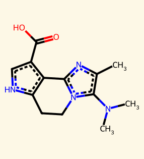 Cc1nc2n(c1N(C)C)CCc1[nH]cc(C(=O)O)c1-2